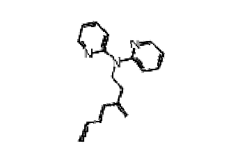 C=CC=CC(=C)CCN(c1ccccn1)c1ccccn1